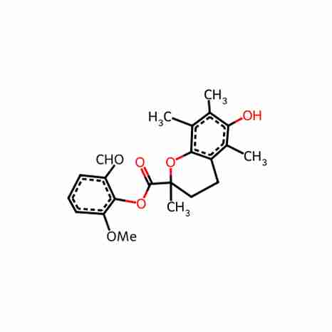 COc1cccc(C=O)c1OC(=O)C1(C)CCc2c(C)c(O)c(C)c(C)c2O1